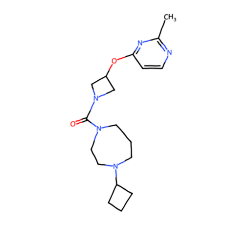 Cc1nccc(OC2CN(C(=O)N3CCCN(C4CCC4)CC3)C2)n1